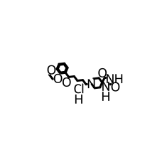 Cl.O=C1NC(=O)C2(CCN(CCCCC(=O)c3cccc4c3OCCO4)CC2)N1